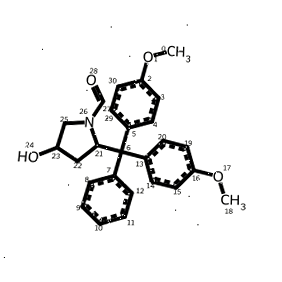 COc1ccc(C(c2ccccc2)(c2ccc(OC)cc2)C2CC(O)CN2C=O)cc1